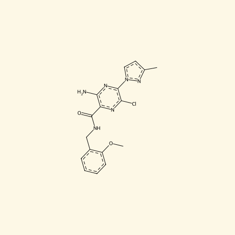 COc1ccccc1CNC(=O)c1nc(Cl)c(-n2ccc(C)n2)nc1N